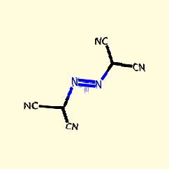 N#CC(C#N)/N=N/C(C#N)C#N